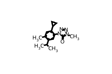 Cc1cc(C2CC2)c(-n2nnn(C)c2=O)cc1C(C)C